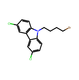 Clc1ccc2c(c1)c1cc(Cl)ccc1n2CCCCBr